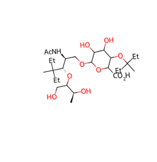 CCC(C)(CC)OC1C(C(=O)O)OC(OC[C@H](NC(C)=O)[C@H](OC(CO)[C@H](C)O)C(C)(CC)CC)C(O)C1O